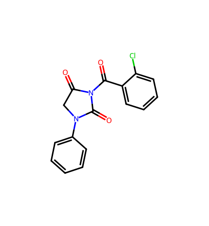 O=C1CN(c2ccccc2)C(=O)N1C(=O)c1ccccc1Cl